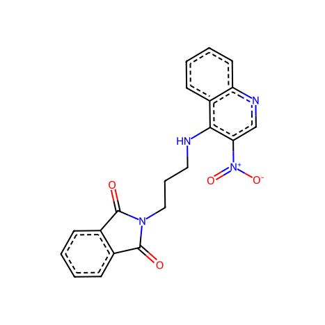 O=C1c2ccccc2C(=O)N1CCCNc1c([N+](=O)[O-])cnc2ccccc12